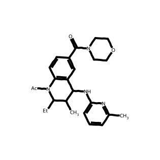 CCC1C(C)C(Nc2cccc(C)n2)c2cc(C(=O)N3CCOCC3)ccc2N1C(C)=O